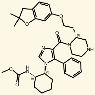 COC(=O)N[C@H]1CCCC[C@@H]1n1cnc(C(=O)N2CCNC[C@H]2CCOc2ccc3c(c2)OC(C)(C)C3)c1-c1ccccc1